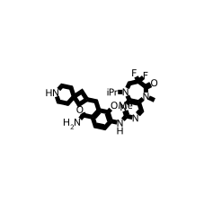 COc1c(Nc2ncc3c(n2)N(C(C)C)CC(F)(F)C(=O)N3C)ccc(C(N)=O)c1CC1CC2(CCNCC2)C1